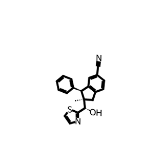 C[C@@]1([C@H](O)c2nccs2)Cc2ccc(C#N)cc2[C@@H]1c1ccccc1